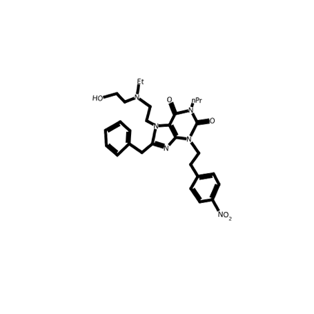 CCCn1c(=O)c2c(nc(Cc3ccccc3)n2CCN(CC)CCO)n(CCc2ccc([N+](=O)[O-])cc2)c1=O